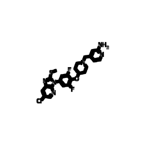 CSc1nc2cc(Cl)cnc2n1-c1cc(F)c(OC2CCN(Cc3ccnc(N)c3)CC2)c(F)c1